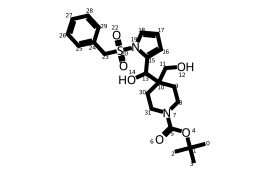 CC(C)(C)OC(=O)N1CCC(CO)(C(O)c2cccn2S(=O)(=O)Cc2ccccc2)CC1